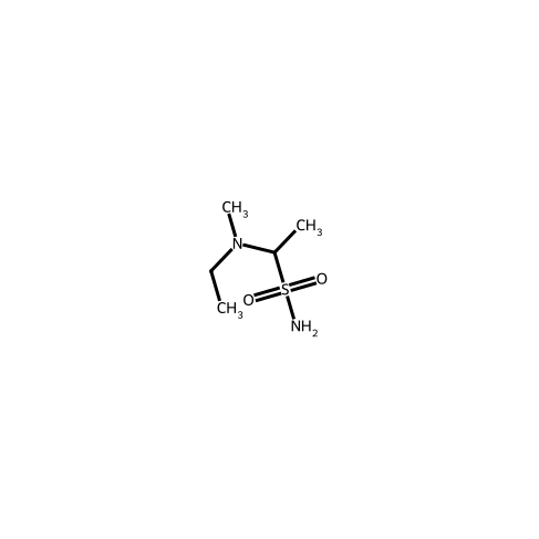 CCN(C)C(C)S(N)(=O)=O